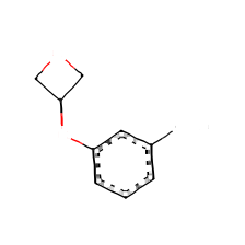 O=Cc1cccc(OC2COC2)c1